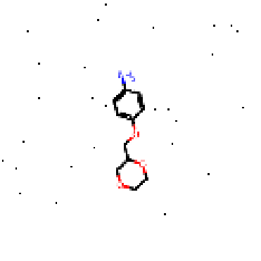 Nc1ccc(OCC2COCCO2)cc1